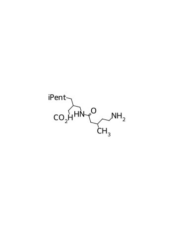 CCCC(C)CC(CNC(=O)CC(C)CCN)CC(=O)O